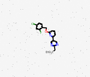 CCOC(=O)Cc1ncc(-c2cccc(OCc3ccc(Cl)cc3F)n2)cn1